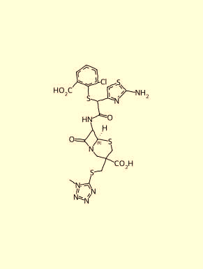 Cn1nnnc1SCC1(C(=O)O)CS[C@@H]2C(NC(=O)C(Sc3c(Cl)cccc3C(=O)O)c3csc(N)n3)C(=O)N2C1